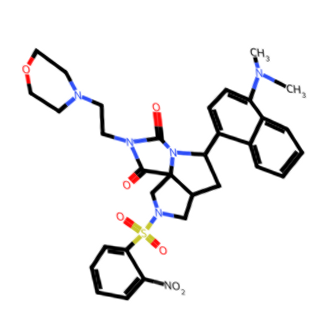 CN(C)c1ccc(C2CC3CN(S(=O)(=O)c4ccccc4[N+](=O)[O-])CC34C(=O)N(CCN3CCOCC3)C(=O)N24)c2ccccc12